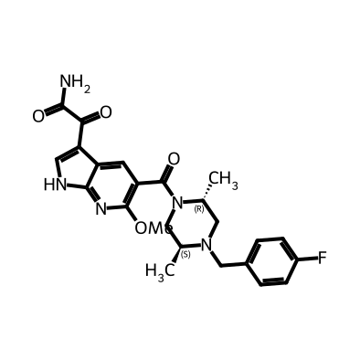 COc1nc2[nH]cc(C(=O)C(N)=O)c2cc1C(=O)N1C[C@H](C)N(Cc2ccc(F)cc2)C[C@H]1C